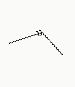 C=CCCCCCCCCCCCCCCCCCC(C=C)OC(C=C)CCCCCCCCCCCCCCCCCC=C